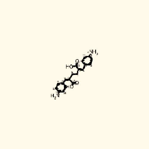 Nc1ccc(C=C(CCC(=Cc2ccc(N)cc2)C(=O)O)C(=O)O)cc1